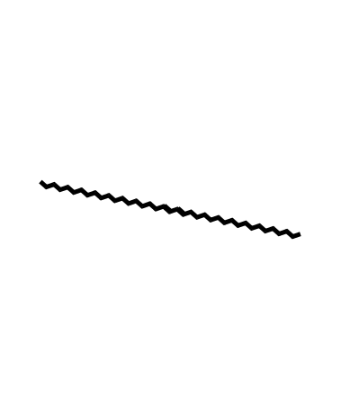 CCCCCCCCCCCCCCCCCC=CC=CCCCCCCCCCCCCCCCCCC